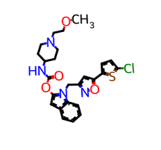 COCCN1CCC(NC(=O)Oc2cc3ccccc3n2Cc2cc(-c3ccc(Cl)s3)on2)CC1